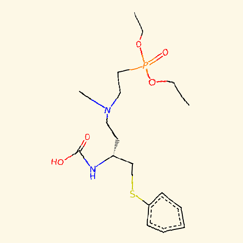 CCOP(=O)(CCN(C)CC[C@H](CSc1ccccc1)NC(=O)O)OCC